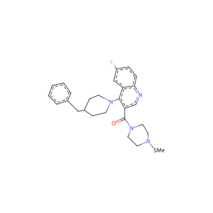 CSN1CCN(C(=O)c2cnc3ccc(F)cc3c2N2CCC(Cc3ccccc3)CC2)CC1